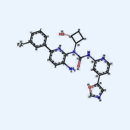 Nc1ccc(-c2cccc(C(F)(F)F)c2)nc1N(C(=O)Nc1cc(-c2cnco2)ccn1)C1CC[C@H]1O